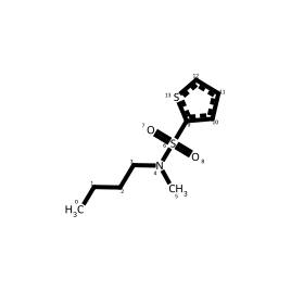 CCCCN(C)S(=O)(=O)c1cccs1